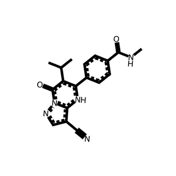 CNC(=O)c1ccc(-c2[nH]c3c(C#N)cnn3c(=O)c2C(C)C)cc1